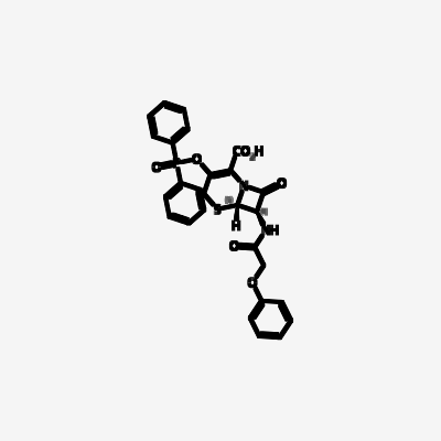 O=C(COc1ccccc1)N[C@@H]1C(=O)N2C(C(=O)O)=C(OP(=O)(c3ccccc3)c3ccccc3)CS[C@@H]12